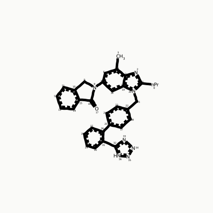 CCCc1nc2c(C)cc(N3Cc4ccccc4C3=O)cc2n1Cc1ccc(-c2ccccc2-c2nnn[nH]2)cc1